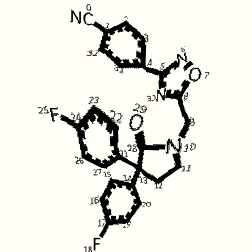 N#Cc1ccc(-c2noc(CN3CCC(c4ccc(F)cc4)(c4ccc(F)cc4)C3=O)n2)cc1